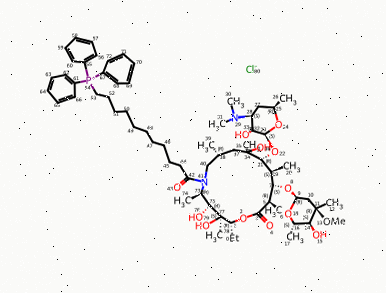 CC[C@H]1OC(=O)[C@H](C)[C@@H](O[C@H]2C[C@@](C)(OC)[C@@H](O)[C@H](C)O2)[C@H](C)[C@@H](O[C@@H]2O[C@H](C)C[C@H](N(C)C)[C@H]2O)[C@](C)(O)C[C@@H](C)CN(C(=O)CCCCCCCCCC[P+](c2ccccc2)(c2ccccc2)c2ccccc2)[C@H](C)[C@@H](O)[C@]1(C)O.[Cl-]